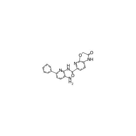 Nc1ccc(-c2ccccc2)nc1NC(=O)c1ccc2c(n1)OCC(=O)N2